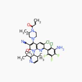 C=CC(=O)N1CCN(c2c(C#N)c(=O)n(C3C(C(C)C)=NC=CC3C)c3nc(-c4c(F)c(F)c(F)c(N)c4Cl)c(Cl)cc23)C[C@H]1C